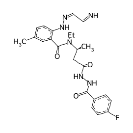 CCN(C(=O)c1cc(C)ccc1N/N=C\C=N)[C@@H](C)CC(=O)NNC(=O)c1ccc(F)cc1